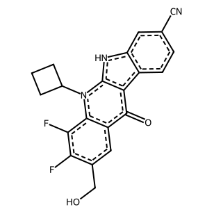 N#Cc1ccc2c(c1)[nH]c1c2c(=O)c2cc(CO)c(F)c(F)c2n1C1CCC1